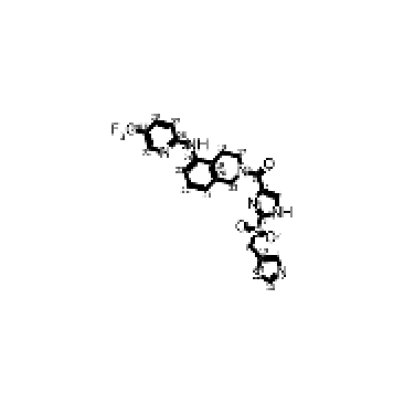 O=C(c1c[nH]c(S(=O)(=O)Cc2cncs2)n1)N1CCc2c(cccc2Nc2ccc(C(F)(F)F)cn2)C1